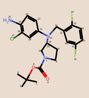 CC(C)(C)OC(=O)N1CC[C@H](N(Cc2cc(F)ccc2F)c2ccc(N)c(Cl)c2)C1